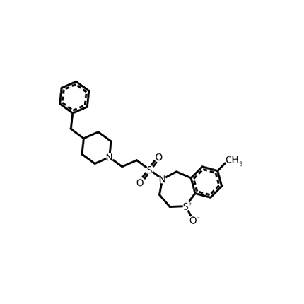 Cc1ccc2c(c1)CN(S(=O)(=O)CCN1CCC(Cc3ccccc3)CC1)CC[S+]2[O-]